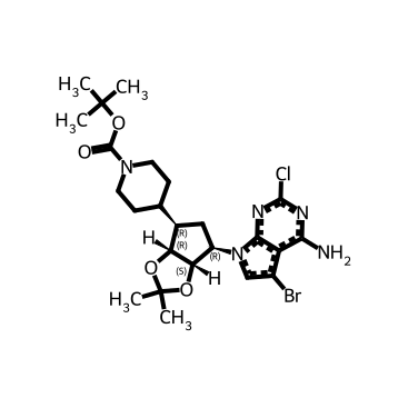 CC(C)(C)OC(=O)N1CCC([C@H]2C[C@@H](n3cc(Br)c4c(N)nc(Cl)nc43)[C@@H]3OC(C)(C)O[C@@H]32)CC1